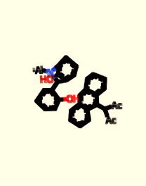 CC(=O)C(C(C)=O)c1c2ccccc2cc2ccccc12.Oc1ccccc1C1c2cccc(c2O)[N]1[Al]